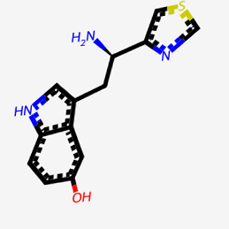 N[C@H](Cc1c[nH]c2ccc(O)cc12)c1cscn1